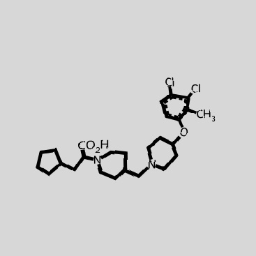 Cc1c(OC2CCN(CC3CCN(C(CC4CCCC4)C(=O)O)CC3)CC2)ccc(Cl)c1Cl